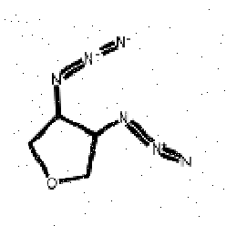 [N-]=[N+]=NC1COCC1N=[N+]=[N-]